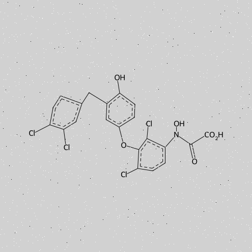 O=C(O)C(=O)N(O)c1ccc(Cl)c(Oc2ccc(O)c(Cc3ccc(Cl)c(Cl)c3)c2)c1Cl